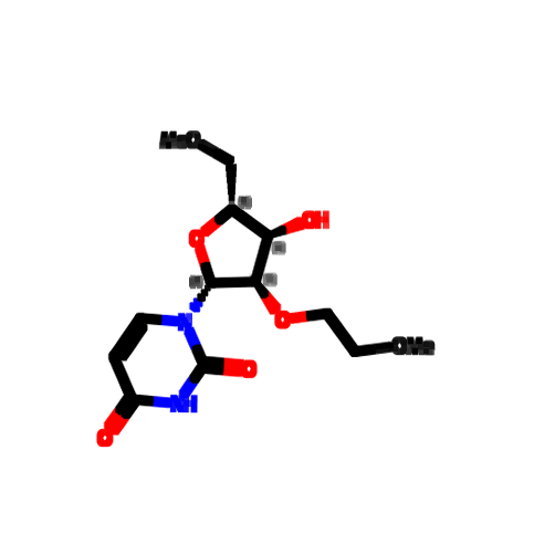 COCCO[C@@H]1[C@H](O)[C@@H](COC)O[C@H]1n1ccc(=O)[nH]c1=O